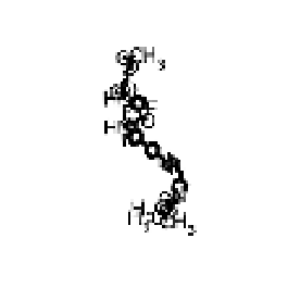 CC(=O)OCCCS(=O)(=O)Nc1ccc(F)c(C(=O)c2c[nH]c3ncc(-c4ccc(N5CCN(CC6CCN(CC(=O)OC(C)(C)C)CC6)CC5)cc4)cc23)c1F